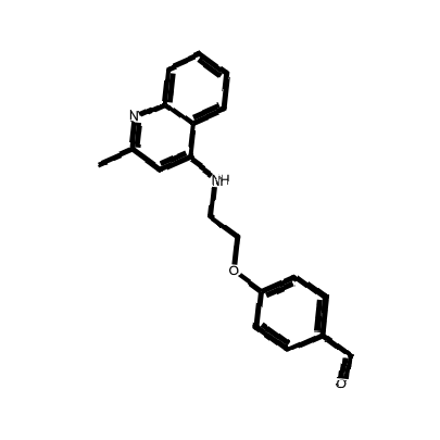 Cc1cc(NCCOc2ccc(C=O)cc2)c2ccccc2n1